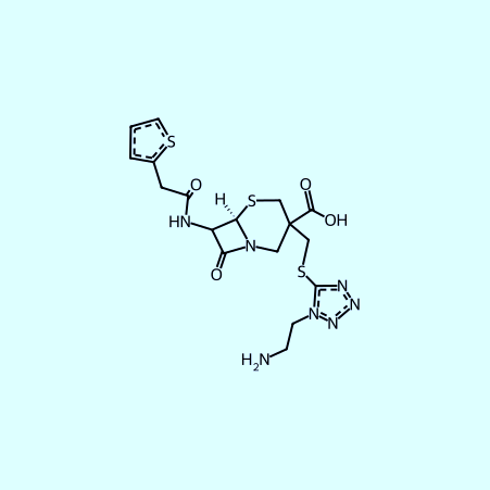 NCCn1nnnc1SCC1(C(=O)O)CS[C@@H]2C(NC(=O)Cc3cccs3)C(=O)N2C1